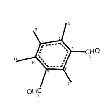 Cc1c(C)c(C=O)c(C)c(C=O)c1C